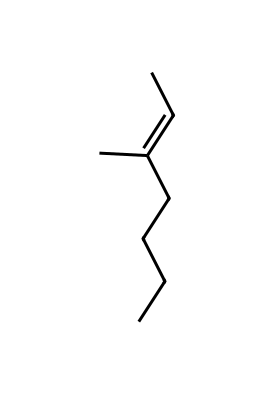 C/C=C(\C)CCCC